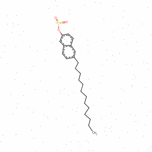 CCCCCCCCCCCCCc1ccc2cc(O[SH](=O)=O)ccc2c1